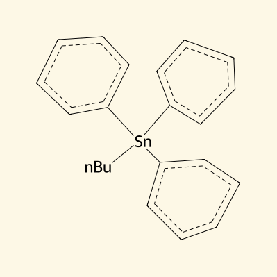 CCC[CH2][Sn]([c]1ccccc1)([c]1ccccc1)[c]1ccccc1